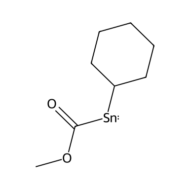 CO[C](=O)[Sn][CH]1CCCCC1